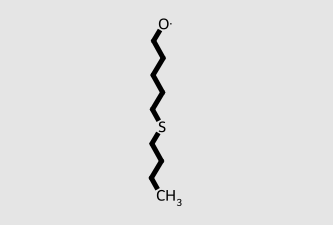 CCCCSCCCCC[O]